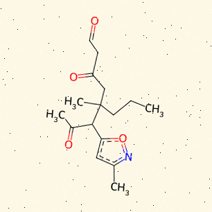 CCCC(C)(CC(=O)CC=O)C(C(C)=O)c1cc(C)no1